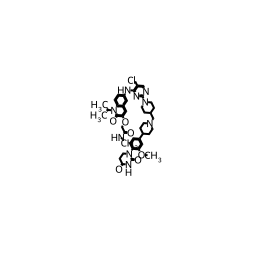 CNC(=O)COc1cc2cc(Nc3nc(N4CCC(CN5CCC(c6ccc(N7CCC(=O)NC7=O)c(OC)c6)CC5)CC4)ncc3Cl)ccc2n(C(C)C)c1=O